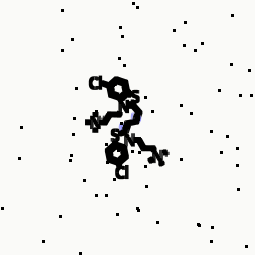 C[N+](C)(C)CCCN1/C(=C\C=C/c2sc3ccc(Cl)cc3[n+]2CCC[N+](C)(C)C)Sc2ccc(Cl)cc21